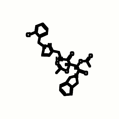 CC(=O)O[C@@H](C(=O)NCc1ccn(Cc2ccccc2Cl)n1)[C@@H](OC(C)=O)C(=O)N1Cc2ccccc2C1